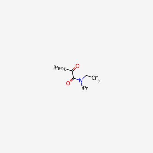 CCCC(C)C(=O)C(=O)N(CC(F)(F)F)C(C)C